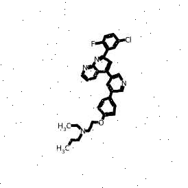 CCCN(CC)CCOc1ccc(-c2cncc(-c3cc(-c4cc(Cl)ccc4F)nc4ncccc34)c2)cc1